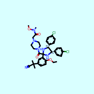 CCOc1ccc(C(C)(C)C#N)cc1C1(C(=O)N2CCN(CC(=O)N(C)OC)CC2)N[C@H](c2ccc(Cl)cc2)[C@H](c2ccc(Cl)cc2)N1